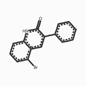 O=c1[nH]c2cccc(Br)c2cc1-c1ccccc1